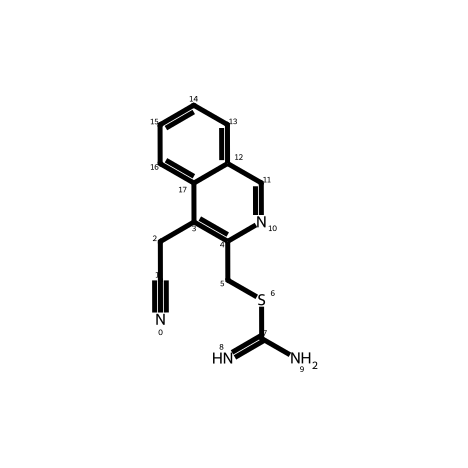 N#CCc1c(CSC(=N)N)ncc2ccccc12